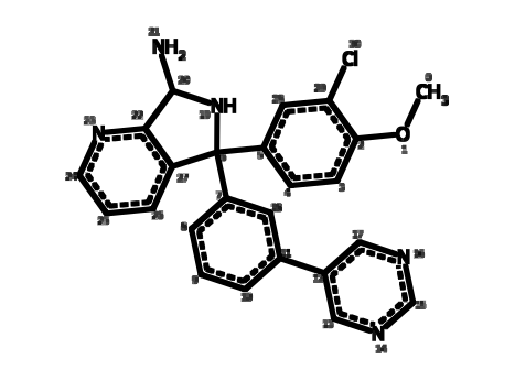 COc1ccc(C2(c3cccc(-c4cncnc4)c3)NC(N)c3ncccc32)cc1Cl